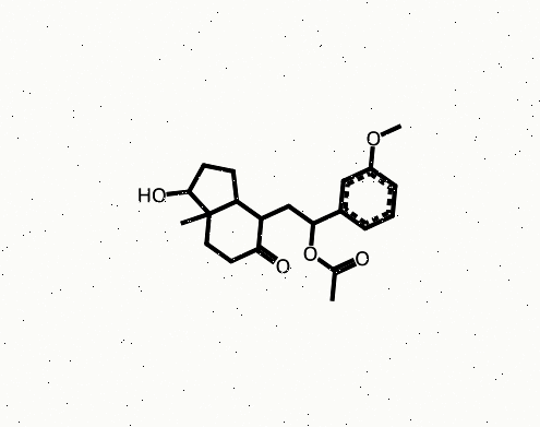 COc1cccc(C(CC2C(=O)CCC3(C)C(O)CCC23)OC(C)=O)c1